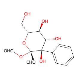 O=CO[C@]1(C=O)O[C@H](CO)[C@@H](O)[C@H](O)[C@]1(O)c1ccccc1